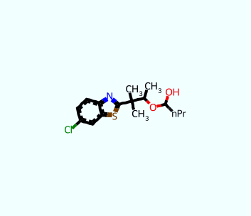 CCCC(O)OC(C)C(C)(C)c1nc2ccc(Cl)cc2s1